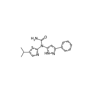 CC(C)c1cnc(N(C(N)=O)c2cc(-c3ccccc3)n[nH]2)s1